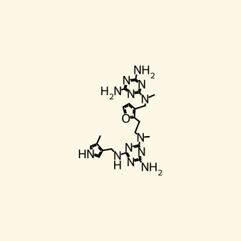 Cc1c[nH]cc1CNc1nc(N)nc(N(C)CCc2occc2CN(C)c2nc(N)nc(N)n2)n1